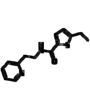 CCc1ccc(C(=O)NCCc2ccccn2)s1